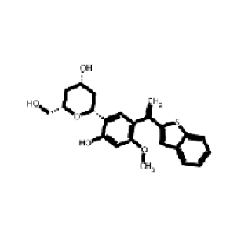 C=C(c1cc2ccccc2s1)c1cc([C@H]2C[C@@H](O)C[C@@H](CO)O2)c(O)cc1OC